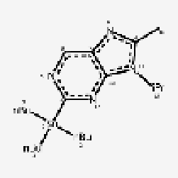 CCC[CH2][Sn]([CH2]CCC)([CH2]CCC)[c]1ncc2nc(C)n(C(C)C)c2n1